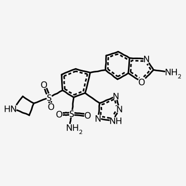 Nc1nc2ccc(-c3ccc(S(=O)(=O)C4CNC4)c(S(N)(=O)=O)c3-c3nn[nH]n3)cc2o1